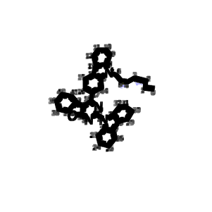 C=C/C=C\C=C/Cn1c2ccccc2c2ccc(-c3nc(-n4c5ccccc5c5ccccc54)nc4oc5ccccc5c34)cc21